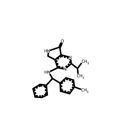 Cc1ccc(C(Nc2nc(C(C)C)nc3c2CNC3=O)c2ccccc2)cc1